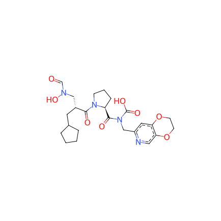 O=CN(O)C[C@@H](CC1CCCC1)C(=O)N1CCC[C@H]1C(=O)N(Cc1cc2c(cn1)OCCO2)C(=O)O